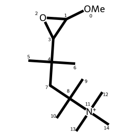 COC1OC1C(C)(C)CC(C)(C)[N+](C)(C)C